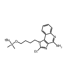 CCc1nc2c(N)nc3ccccc3c2n1CCCCO[Si](C)(C)C(C)(C)C